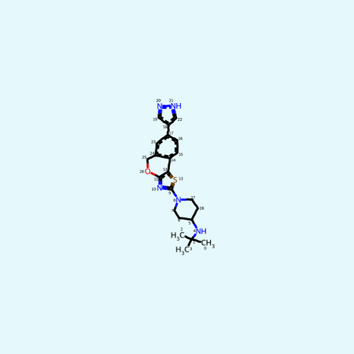 CC(C)(C)NC1CCN(c2nc3c(s2)-c2ccc(-c4cn[nH]c4)cc2CO3)CC1